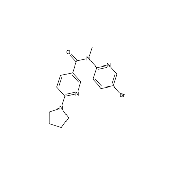 CN(C(=O)c1ccc(N2CCCC2)nc1)c1ccc(Br)cn1